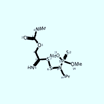 CNC(=O)OCC(=N)SSN(C(C)C)P(=S)(OC)OC